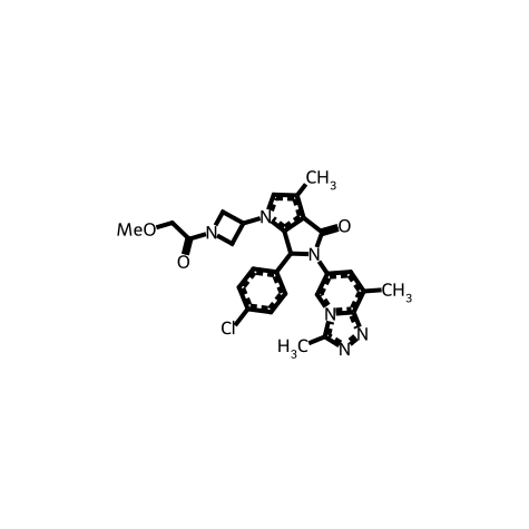 COCC(=O)N1CC(n2cc(C)c3c2C(c2ccc(Cl)cc2)N(c2cc(C)c4nnc(C)n4c2)C3=O)C1